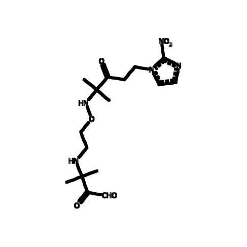 CC(C)(NCCONC(C)(C)C(=O)CCn1ccnc1[N+](=O)[O-])C(=O)C=O